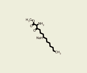 CCCCCCCCCCCC(=O)C(N)C(=O)OC.[NaH]